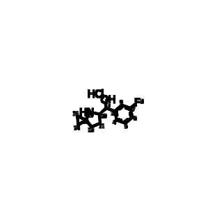 Cl.OC(c1cccc(F)c1)[C@H]1CCC2(CC2)N1